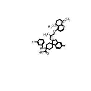 C[C@@H](COc1ccnc2c1[C@H](C)CC[C@H]2C)C[C@H]1Cc2cc(F)ccc2C12CCC(Nc1cccc(Cl)c1)(C(=O)O)CC2